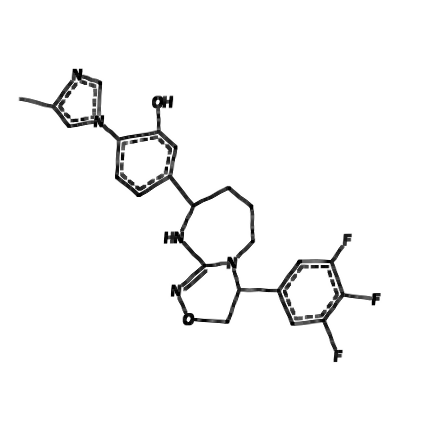 Cc1cn(-c2ccc(C3CCCN4C(=NOCC4c4cc(F)c(F)c(F)c4)N3)cc2O)cn1